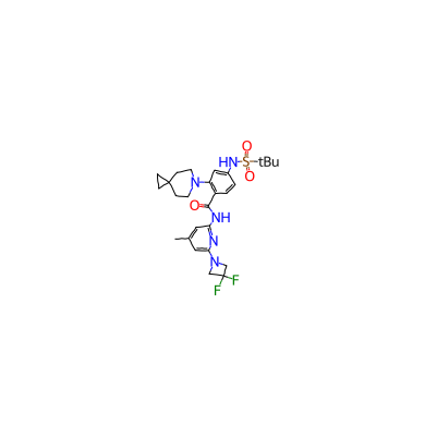 Cc1cc(NC(=O)c2ccc(NS(=O)(=O)C(C)(C)C)cc2N2CCC3(CC2)CC3)nc(N2CC(F)(F)C2)c1